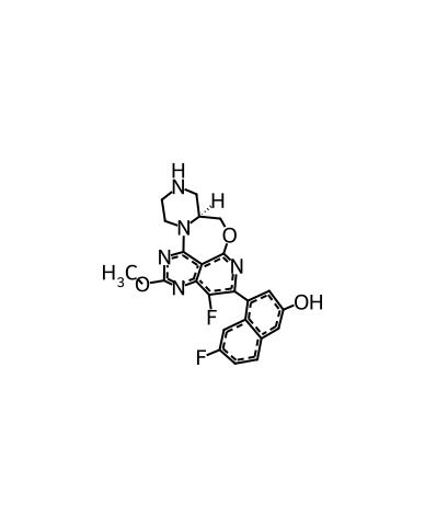 COc1nc2c3c(nc(-c4cc(O)cc5ccc(F)cc45)c(F)c3n1)OC[C@@H]1CNCCN21